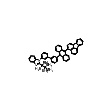 BC(B)(B)C(B)(B)c1nc2ccccc2n1-c1cccc(-c2cccc(-c3c4ccccc4c(-c4ccc5c6c(cccc46)-c4ccccc4-5)c4ccccc34)c2)c1